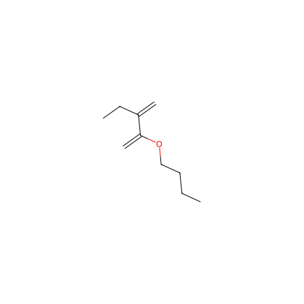 C=C(CC)C(=C)OCCCC